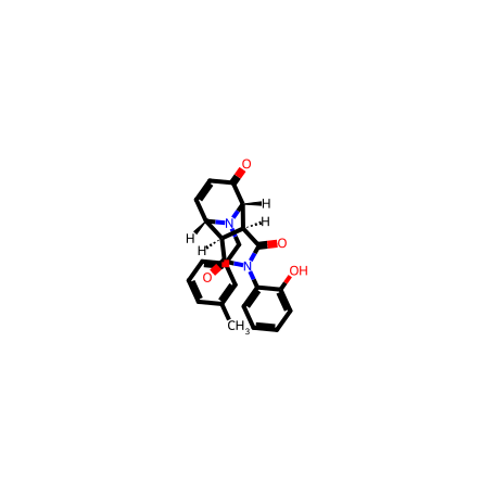 Cc1cccc(CN2[C@@H]3C(=O)C=C[C@H]2[C@@H]2C(=O)N(c4ccccc4O)C(=O)[C@@H]23)c1